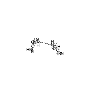 CCC(C)[C@H](NC(=O)c1ccc(-c2cnc[nH]2)cc1)C(=O)NCCCCCCCCCCNC(=O)[C@@H](NC(=O)c1ccc(-c2cnc[nH]2)cc1)C(C)CC